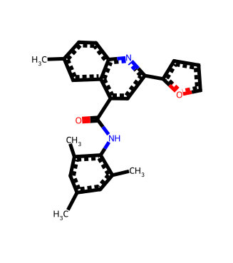 Cc1cc(C)c(NC(=O)c2cc(-c3ccco3)nc3ccc(C)cc23)c(C)c1